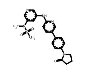 CN(c1cncc(Nc2ccc(-c3ccc(N4CCCC4=O)cc3)cn2)c1)S(C)(=O)=O